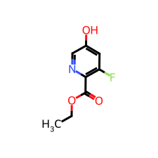 CCOC(=O)c1ncc(O)cc1F